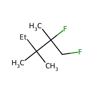 CCC(C)(C)C(C)(F)CF